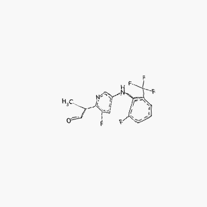 CC(C=O)c1ncc(Nc2c(F)cccc2C(F)(F)F)cc1F